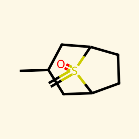 C=S1(=O)C2CCC1CC(C)C2